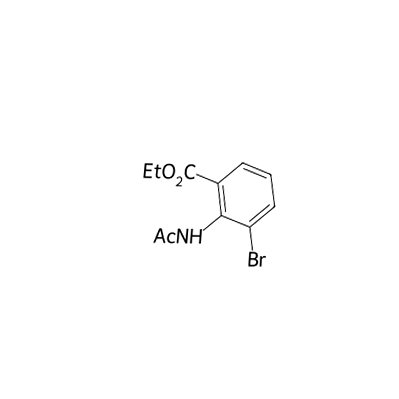 CCOC(=O)c1cccc(Br)c1NC(C)=O